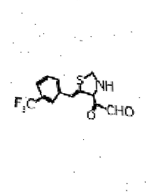 O=CC(=O)C1NCSC1=Cc1cccc(C(F)(F)F)c1